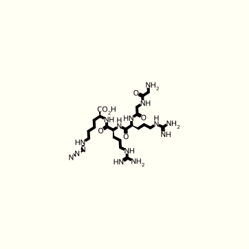 [N-]=[N+]=NNCCCC[C@H](NC(=O)[C@H](CCCNC(=N)N)NC(=O)[C@H](CCCNC(=N)N)NC(=O)CNC(=O)CN)C(=O)O